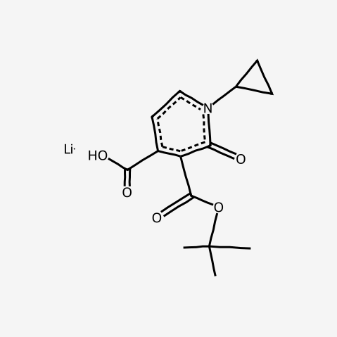 CC(C)(C)OC(=O)c1c(C(=O)O)ccn(C2CC2)c1=O.[Li]